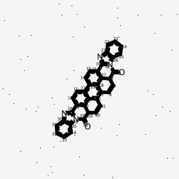 O=C1C2C=Cc3c4c5c6c(ccc5c5ccc(c2c35)-c2nc3ccccc3n21)-c1nc2ccccc2n1C(=O)C6C=C4